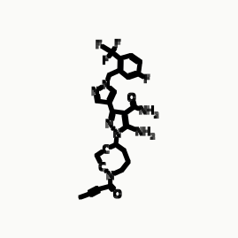 CC#CC(=O)N1CCCC(n2nc(-c3cnn(Cc4cc(F)ccc4C(F)(F)F)c3)c(C(N)=O)c2N)CCC1